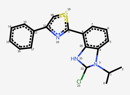 CC(C)N1c2cccc(-c3nc(-c4ccccc4)cs3)c2NC1Cl